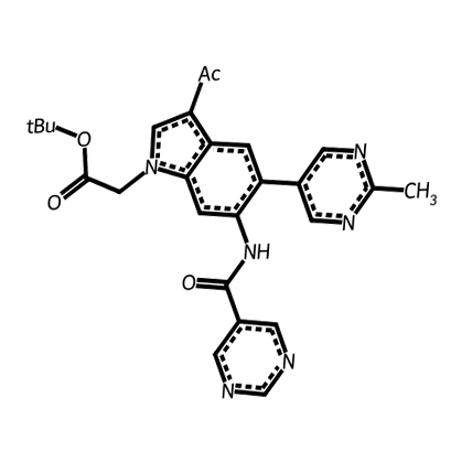 CC(=O)c1cn(CC(=O)OC(C)(C)C)c2cc(NC(=O)c3cncnc3)c(-c3cnc(C)nc3)cc12